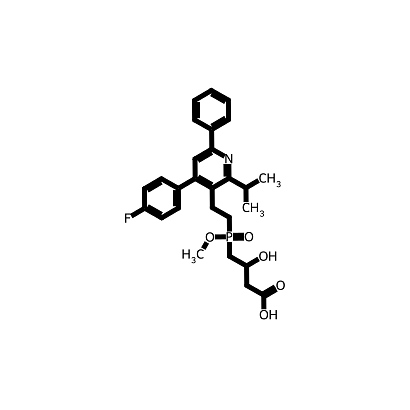 COP(=O)(CCc1c(-c2ccc(F)cc2)cc(-c2ccccc2)nc1C(C)C)CC(O)CC(=O)O